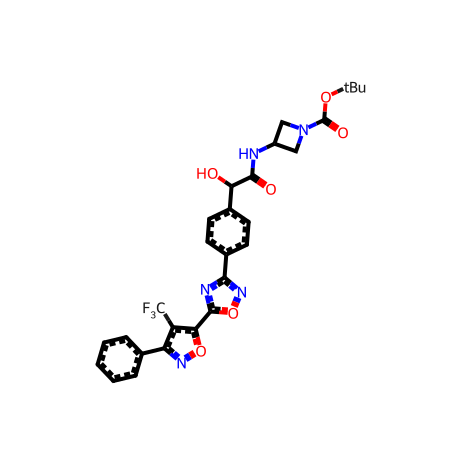 CC(C)(C)OC(=O)N1CC(NC(=O)C(O)c2ccc(-c3noc(-c4onc(-c5ccccc5)c4C(F)(F)F)n3)cc2)C1